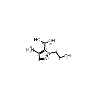 Nc1cnn(CCO)c1B(O)O